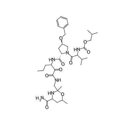 CCCC(NC(=O)[C@@H]1C[C@@H](OCc2ccccc2)CN1C(=O)C(NC(=O)OCC(C)C)C(C)C)C(=O)C(=O)NCC1(C)NC(C(N)=O)CC(C)O1